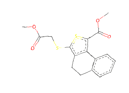 COC(=O)CSc1sc(C(=O)OC)c2c1CCc1ccccc1-2